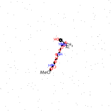 COCCOCC(=O)NCCOCCOCC(=O)NCCOCCOCC(=O)N[C@@H](Cc1ccc(O)cc1)C(=O)N[C@H](C)C(C)=O